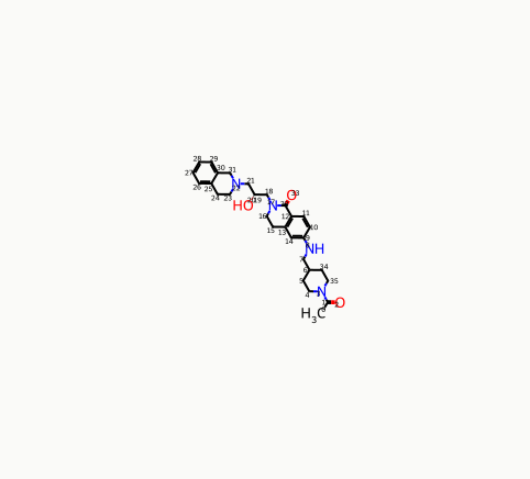 CC(=O)N1CCC(CNc2ccc3c(c2)CCN(C[C@H](O)CN2CCc4ccccc4C2)C3=O)CC1